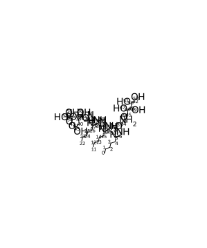 CCCCCc1c[nH]c(N)n1.CCCCCc1c[nH]c(N)n1.CCCCCc1c[nH]c(N)n1.NC=O.O=C(O)CCC(=O)O.O=CC(O)C(O)C(O)CO.O=P(O)(O)O